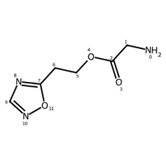 NCC(=O)OCCc1ncno1